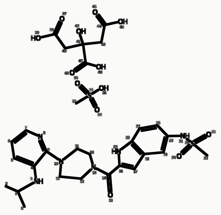 CC(C)Nc1cccnc1N1CCN(C(=O)c2cc3cc(NS(C)(=O)=O)ccc3[nH]2)CC1.CS(=O)(=O)O.O=C(O)CC(O)(CC(=O)O)C(=O)O